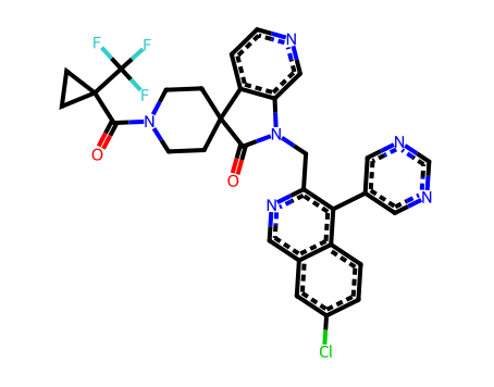 O=C1N(Cc2ncc3cc(Cl)ccc3c2-c2cncnc2)c2cnccc2C12CCN(C(=O)C1(C(F)(F)F)CC1)CC2